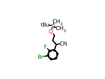 CC(C)(C)[Si](C)(C)OCCC(C#N)c1cccc(Br)c1F